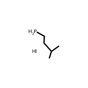 CC(C)CCP.I